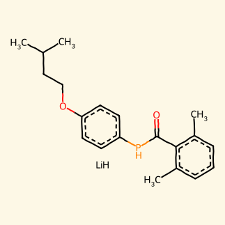 Cc1cccc(C)c1C(=O)Pc1ccc(OCCC(C)C)cc1.[LiH]